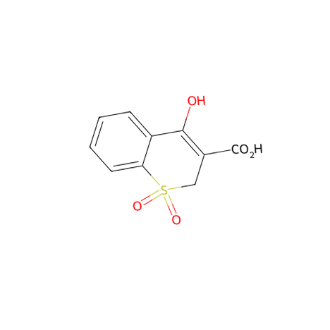 O=C(O)C1=C(O)c2ccccc2S(=O)(=O)C1